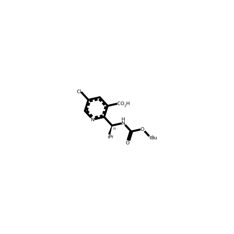 CC(C)[C@H](NC(=O)OC(C)(C)C)c1ncc(Cl)cc1C(=O)O